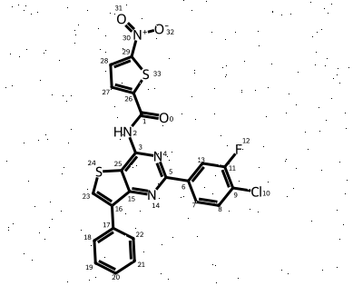 O=C(Nc1nc(-c2ccc(Cl)c(F)c2)nc2c(-c3ccccc3)csc12)c1ccc([N+](=O)[O-])s1